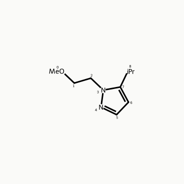 COCCn1nccc1C(C)C